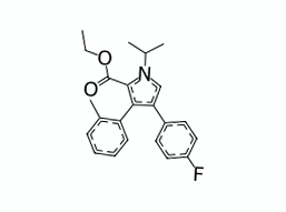 CCOC(=O)c1c(-c2ccccc2C)c(-c2ccc(F)cc2)cn1C(C)C